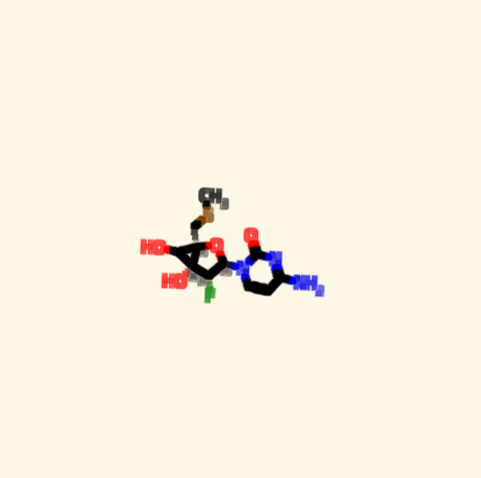 CSC[C@]12O[C@@H](n3ccc(N)nc3=O)[C@H](F)[C@@]1(O)C2O